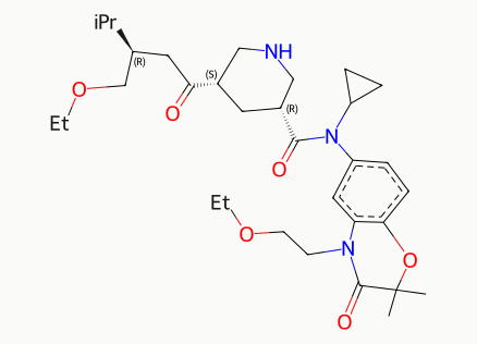 CCOCCN1C(=O)C(C)(C)Oc2ccc(N(C(=O)[C@H]3CNC[C@@H](C(=O)C[C@@H](COCC)C(C)C)C3)C3CC3)cc21